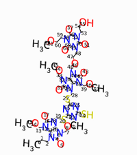 CCCN1C(=O)N(COC)C2C1N(COC)C(=O)N2CSc1nc(S)nc(SCN2C(=O)N(COC)C3C2N(COC)C(=O)N3COCCn2c(=O)n(CCO)c(=O)n(CCOC)c2=O)n1